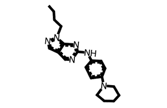 CCCCn1ncc2cnc(Nc3ccc(N4CCCCC4)cc3)nc21